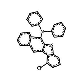 Clc1cccc2sc3c(N(c4ccccc4)c4ccccc4)c4ccccc4cc3c12